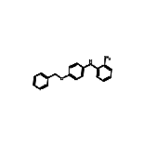 Nc1ccccc1Nc1ccc(OCc2ccccc2)cc1